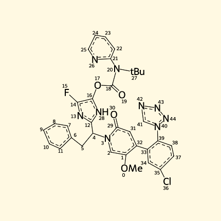 COc1cn(C(Cc2ccccc2)c2nc(F)c(OC(=O)N(c3ccccn3)C(C)(C)C)[nH]2)c(=O)cc1-c1cc(Cl)ccc1-n1cnnn1